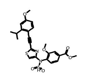 COC(=O)c1ccc(N(c2csc(C#Cc3ccc(OC)cc3C(C)C)n2)[SH](=O)=O)c(OC)c1